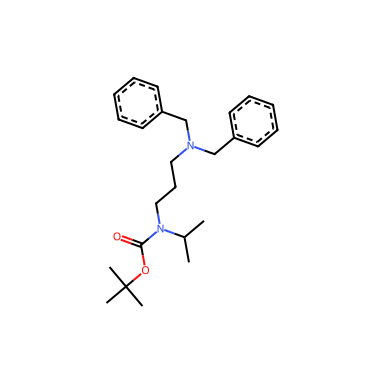 CC(C)N(CCCN(Cc1ccccc1)Cc1ccccc1)C(=O)OC(C)(C)C